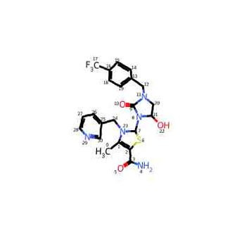 CC1=C(C(N)=O)SC(N2C(=O)N(Cc3ccc(C(F)(F)F)cc3)CC2O)N1Cc1cccnc1